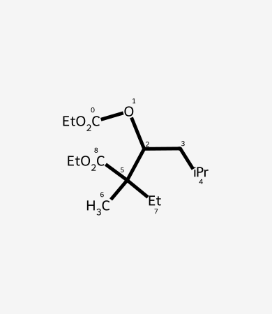 CCOC(=O)OC(CC(C)C)C(C)(CC)C(=O)OCC